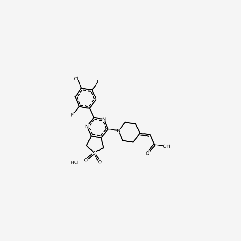 Cl.O=C(O)C=C1CCN(c2nc(-c3cc(F)c(Cl)cc3F)nc3c2CS(=O)(=O)C3)CC1